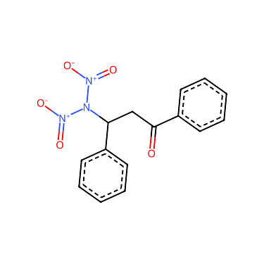 O=C(CC(c1ccccc1)N([N+](=O)[O-])[N+](=O)[O-])c1ccccc1